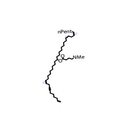 C=CCCCCC#CC/C=C\CCCCCCCCC(CCCCCCCC/C=C\C/C=C\CCCCC)OC(=O)CCCNC